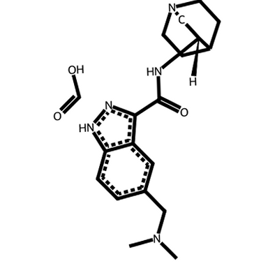 CN(C)Cc1ccc2[nH]nc(C(=O)N[C@@H]3CN4CCC3CC4)c2c1.O=CO